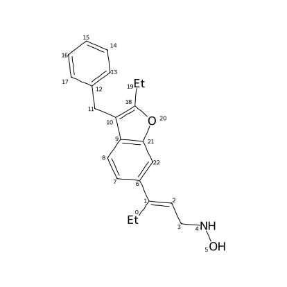 CCC(=CCNO)c1ccc2c(Cc3ccccc3)c(CC)oc2c1